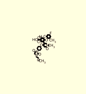 COCCN1CC(=O)N([C@H]2CC[C@H](Oc3cc(=O)n(C)cc3-c3cc(C(C)(C)O)ccc3Oc3c(C)cc(F)cc3C)CC2)C1=O